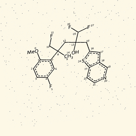 COc1ccc(F)cc1C(C)(CF)CC(O)(Cc1cc2cnccc2s1)C(F)F